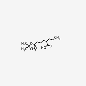 CCCC(CCCC(=O)OC(C)(C)C)C(=O)O